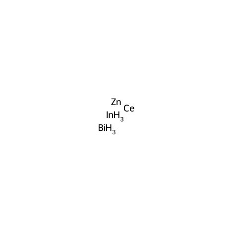 [BiH3].[Ce].[InH3].[Zn]